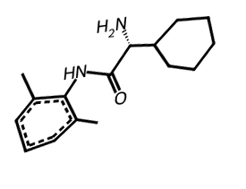 Cc1cccc(C)c1NC(=O)[C@H](N)C1CCCCC1